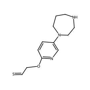 S=CCOc1ccc(N2CCCNCC2)cn1